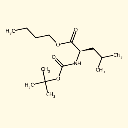 CCCCOC(=O)[C@@H](CC(C)C)NC(=O)OC(C)(C)C